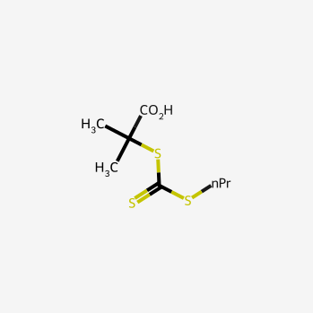 CCCSC(=S)SC(C)(C)C(=O)O